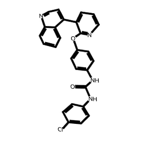 O=C(Nc1ccc(Cl)cc1)Nc1ccc(Oc2ncccc2-c2ccnc3ccccc23)cc1